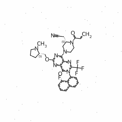 C=CC(=O)N1CCN(c2nc(OC[C@@H]3CCCN3C)nc3c(=O)n(-c4cccc5cccc(F)c45)c(C(F)(F)F)nc23)C[C@@H]1CC#N